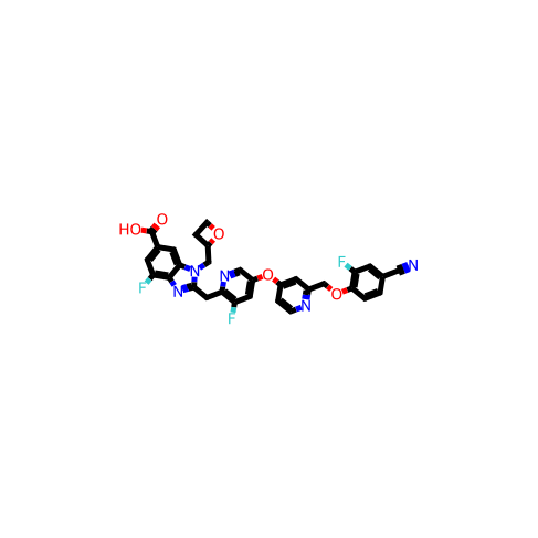 N#Cc1ccc(OCc2cc(Oc3cnc(Cc4nc5c(F)cc(C(=O)O)cc5n4CC4CCO4)c(F)c3)ccn2)c(F)c1